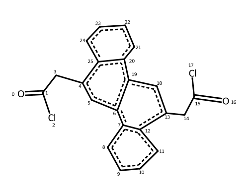 O=C(Cl)Cc1cc2c3ccccc3c(CC(=O)Cl)cc2c2ccccc12